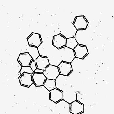 Cc1ccccc1-c1ccc2c3ccc(-c4ccccc4C)cc3n(-c3ccc(-c4cccc5c4c4ccccc4n5-c4ccccc4)cc3-c3nc(-c4ccccc4)nc(-c4ccccc4)n3)c2c1